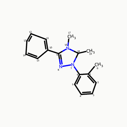 Cc1ccccc1N1N=C(c2ccccc2)N(C)C1C